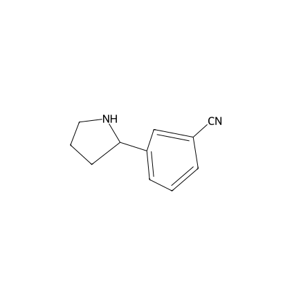 N#Cc1cccc(C2CCCN2)c1